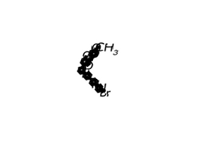 COc1ccc(CN2C(=O)CCC(c3cccc(N4CCC(C5CCN(c6ccc(Br)nc6)CC5)CC4)c3)C2=O)cc1